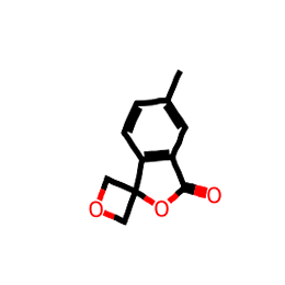 Cc1ccc2c(c1)C(=O)OC21COC1